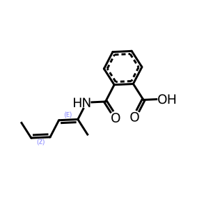 C/C=C\C=C(/C)NC(=O)c1ccccc1C(=O)O